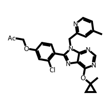 CC(=O)COc1ccc(-c2nc3c(OC4(C)CC4)ncnc3n2Cc2cc(C)ccn2)c(Cl)c1